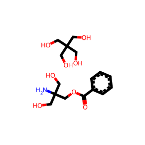 NC(CO)(CO)COC(=O)c1ccccc1.OCC(CO)(CO)CO